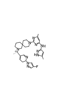 Cc1cc(Nc2cc(C)[nH]n2)nc(N2CCC3(CCCN([C@@H](C)C4=CCC(n5cc(F)cn5)N=C4)C3)CC2)n1